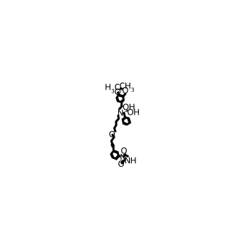 CC1(C)OCc2cc([C@H](O)CN(CCCCCCOCCC#Cc3cccc(N4C(=O)CNC4=O)c3)[C@H](CO)c3ccccc3)ccc2O1